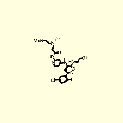 CCCN(CCNC)CCC(=O)Nc1cc(Nc2cc(-c3cc(Cl)ccc3F)nnc2NCCO)ccn1